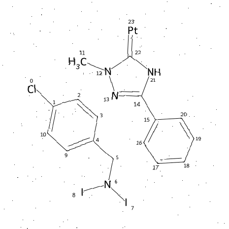 Clc1ccc(CN(I)I)cc1.Cn1nc(-c2ccccc2)[nH][c]1=[Pt]